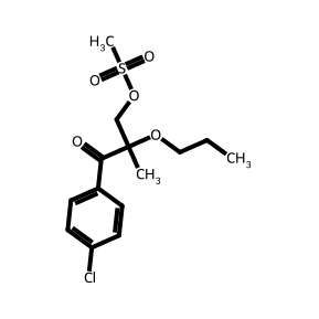 CCCOC(C)(COS(C)(=O)=O)C(=O)c1ccc(Cl)cc1